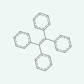 [c]1ccc(C(=C(c2ccccc2)c2ccccc2)c2ccccc2)cc1